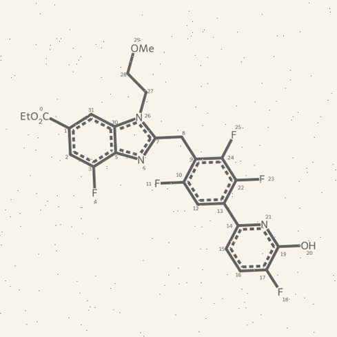 CCOC(=O)c1cc(F)c2nc(Cc3c(F)cc(-c4ccc(F)c(O)n4)c(F)c3F)n(CCOC)c2c1